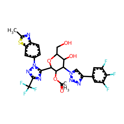 CC(=O)OC1C(c2nc(C(F)(F)F)nn2-c2ccc3nc(C)sc3c2)OC(CO)C(O)C1n1cc(-c2cc(F)c(F)c(F)c2)nn1